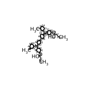 CCCC(O)Oc1ccc(N(c2ccc(-c3ccc(N(c4ccc(OC(O)CCC)cc4)c4cccc(C)c4)cc3)cc2)c2cccc(C)c2)cc1